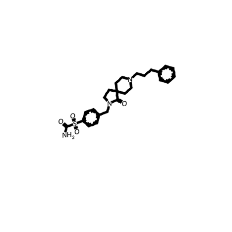 NC(=O)S(=O)(=O)c1ccc(CN2CCC3(CCN(CC[CH]c4ccccc4)CC3)C2=O)cc1